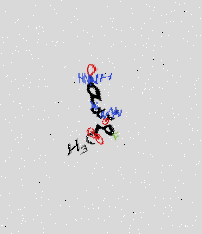 COC(=O)C1CC1c1cc(F)ccc1Oc1cncnc1N1CCC2(CCN(Cc3ccc4[nH]c(=O)[nH]c4c3)C2)C1